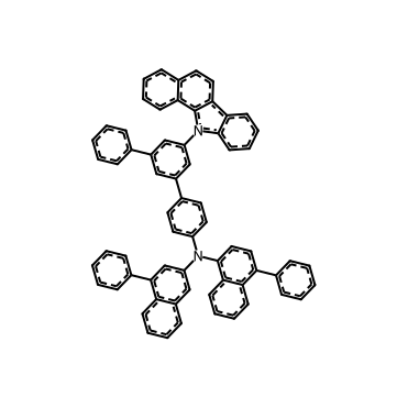 c1ccc(-c2cc(-c3ccc(N(c4cc(-c5ccccc5)c5ccccc5c4)c4ccc(-c5ccccc5)c5ccccc45)cc3)cc(-n3c4ccccc4c4ccc5ccccc5c43)c2)cc1